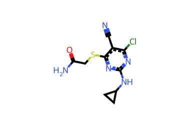 N#Cc1c(Cl)nc(NC2CC2)nc1SCC(N)=O